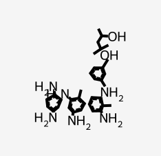 CC(O)CC(C)(C)O.Cc1c(N)cccc1N.Cc1ccc(N)cc1N.Cc1cccc(C)c1.Nc1ccc(N)cc1